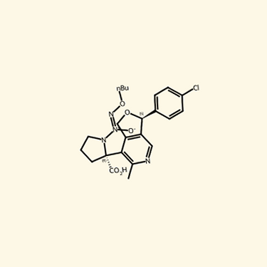 CCCCON=[N+]([O-])N1CCC[C@]1(C(=O)O)c1c(C)ncc2c1CO[C@H]2c1ccc(Cl)cc1